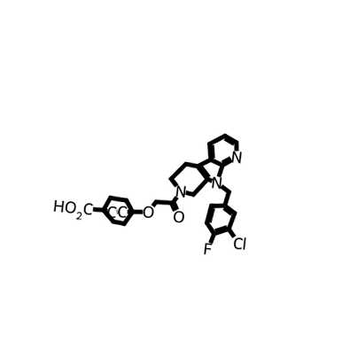 O=C(COC12CCC(C(=O)O)(CC1)CC2)N1CCc2c(n(Cc3ccc(F)c(Cl)c3)c3ncccc23)C1